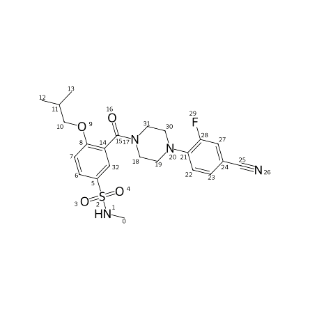 CNS(=O)(=O)c1ccc(OCC(C)C)c(C(=O)N2CCN(c3ccc(C#N)cc3F)CC2)c1